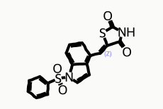 O=C1NC(=O)/C(=C/c2cccc3c2ccn3S(=O)(=O)c2ccccc2)S1